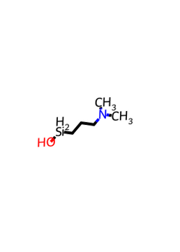 CN(C)CCC[SiH2]O